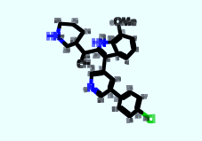 COc1cccc2c(-c3cncc(-c4ccc(Cl)cc4)c3)c(C(C)C3CCCNC3)[nH]c12